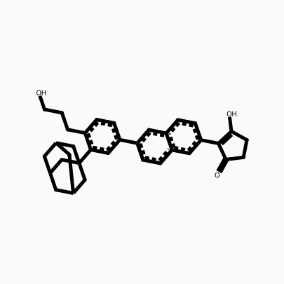 O=C1CCC(O)=C1c1ccc2cc(-c3ccc(CCCO)c(C45CC6CC(CC(C6)C4)C5)c3)ccc2c1